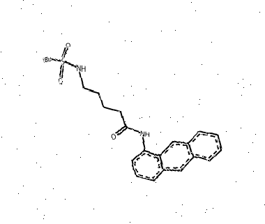 CC(C)(C)S(=O)(=O)NCCCCC(=O)Nc1cccc2cc3ccccc3cc12